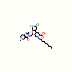 CCCCCCCCCN1CCC(C2CC(Cl)NCC2OCCn2c(C)nc3c(c2=O)CN(C)CC3)CC1C(=O)O